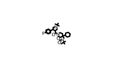 CC(C)(C)N1CC(C(=O)N2CCC(CN3C(=O)OCC3(C)C)(C3CCCCC3)CC2)C(c2ccc(F)cc2)C1